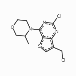 CC1COCCN1c1nc(Cl)nc2c(CCl)csc12